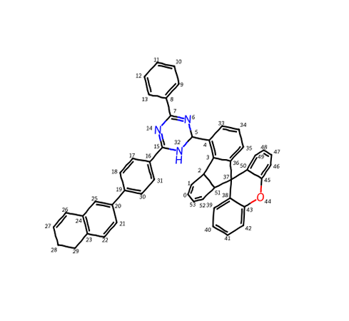 C1=CC2c3c(C4N=C(c5ccccc5)N=C(c5ccc(-c6ccc7c(c6)C=CCC7)cc5)N4)cccc3C3(c4ccccc4Oc4ccccc43)C2C=C1